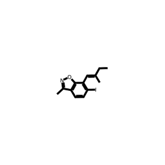 CC/C(C)=C/c1c(I)ccc2c(C)noc12